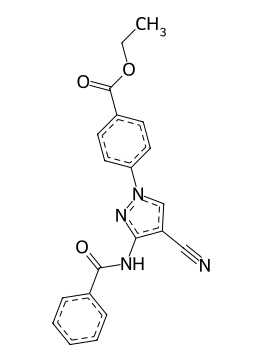 CCOC(=O)c1ccc(-n2cc(C#N)c(NC(=O)c3ccccc3)n2)cc1